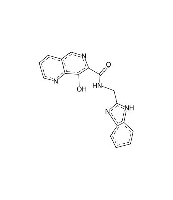 O=C(NCc1nc2ccccc2[nH]1)c1ncc2cccnc2c1O